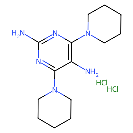 Cl.Cl.Nc1nc(N2CCCCC2)c(N)c(N2CCCCC2)n1